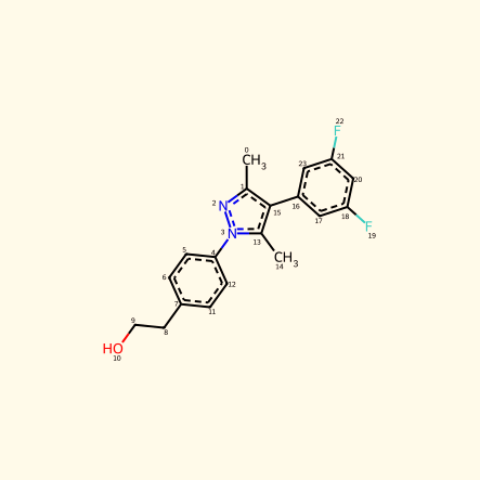 Cc1nn(-c2ccc(CCO)cc2)c(C)c1-c1cc(F)cc(F)c1